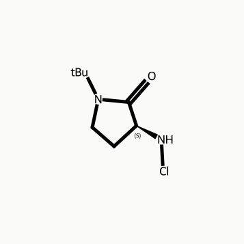 CC(C)(C)N1CC[C@H](NCl)C1=O